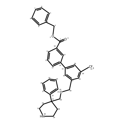 O=C(OCc1ccccc1)c1cccc(-c2cc(COCC3(c4ccccc4)CCNCC3)cc(C(F)(F)F)c2)c1